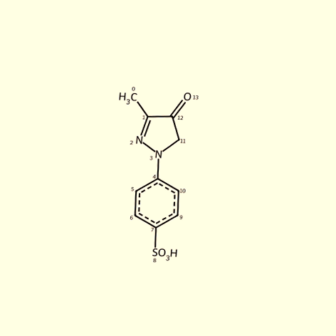 CC1=NN(c2ccc(S(=O)(=O)O)cc2)CC1=O